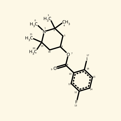 CN1C(C)(C)CC(OC(=O)c2cc(F)ccc2I)CC1(C)C